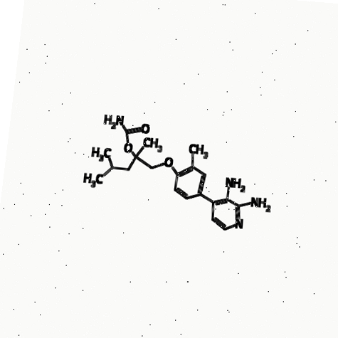 Cc1cc(-c2ccnc(N)c2N)ccc1OCC(C)(CC(C)C)OC(N)=O